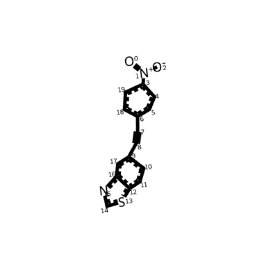 O=[N+]([O-])c1ccc(C#Cc2ccc3scnc3c2)cc1